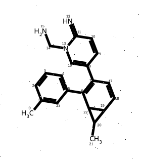 Cc1cccc(C2=C(c3ccc(=N)n(CN)c3)C=CC3C(C)C23)c1